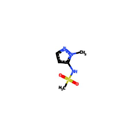 Cn1nccc1NS(C)(=O)=O